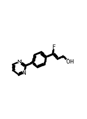 OCC=C(F)c1ccc(-c2ncccn2)cc1